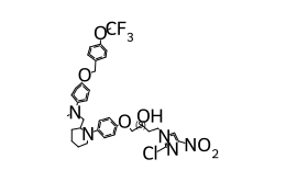 CN(CC1CCCCN1c1ccc(OC[C@@H](O)CCn2cc([N+](=O)[O-])nc2Cl)cc1)c1ccc(OCc2ccc(OC(F)(F)F)cc2)cc1